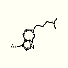 CC(=O)c1cnn2cc(CCCN(C)C)ccc12